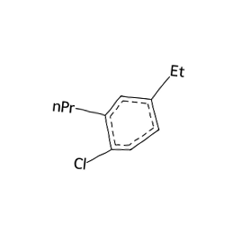 CCCc1cc(CC)ccc1Cl